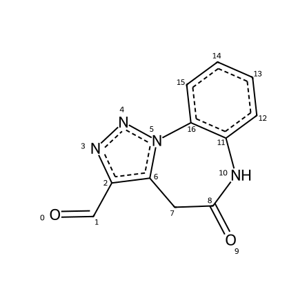 O=Cc1nnn2c1CC(=O)Nc1ccccc1-2